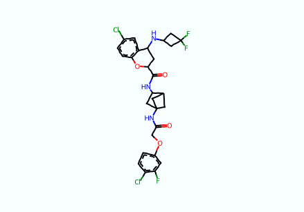 O=C(COc1ccc(Cl)c(F)c1)NC12CC(C1)C(NC(=O)C1CC(NC3CC(F)(F)C3)c3cc(Cl)ccc3O1)C2